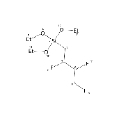 CCO[Si](CC(F)C(F)CF)(OCC)OCC